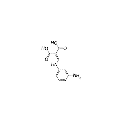 Nc1cccc(NC=C(C(=O)O)C(=O)O)c1